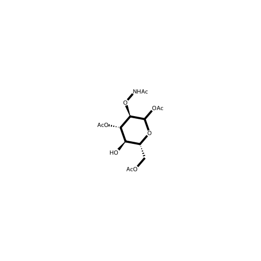 CC(=O)NO[C@H]1C(OC(C)=O)O[C@H](COC(C)=O)[C@@H](O)[C@@H]1OC(C)=O